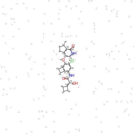 CC1CCc2c(Oc3c(Cl)cc(NC(=O)C(O)=C4CCC4)c4c3CC4)c[nH]c(=O)c21